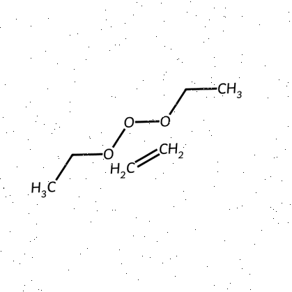 C=C.CCOOOCC